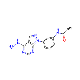 CCCC(=O)Nc1cccc(-n2ncc3c(NN)ncnc32)c1